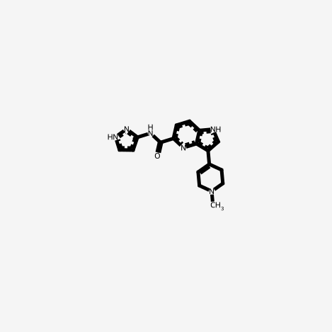 CN1CC=C(c2c[nH]c3ccc(C(=O)Nc4cc[nH]n4)nc23)CC1